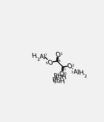 O=C([O][AlH2])C(=O)[O][AlH2].[RbH].[RbH]